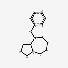 c1ccc(CN2CCCCN3CCCC32)cc1